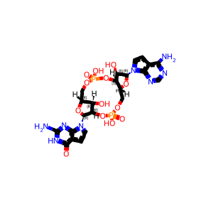 Nc1nc2c(ccn2[C@@H]2O[C@@H]3COP(=O)(O)O[C@H]4[C@@H](O)[C@H](n5ccc6c(N)ncnc65)O[C@@H]4COP(=O)(O)O[C@@H]2[C@@H]3O)c(=O)[nH]1